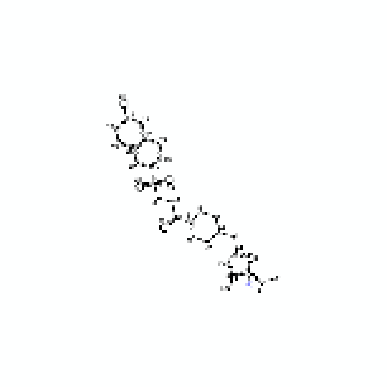 C/N=c1\sc(CC2CCN(C(=O)CCS(=O)(=O)c3ccc4cc(Cl)ccc4c3)CC2)cn1C